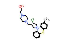 OCCN1CCN(CCC[N+]2(CCCl)c3ccccc3Sc3ccc(C(F)(F)F)cc32)CC1